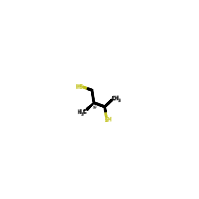 CC(S)[C@@H](C)CS